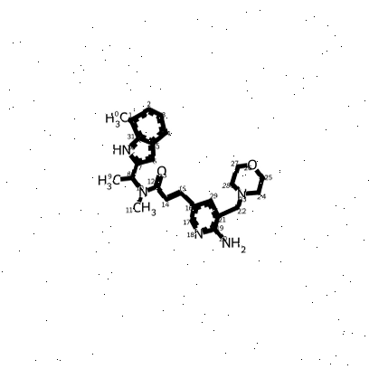 Cc1cccc2cc(C(C)N(C)C(=O)C=Cc3cnc(N)c(CN4CCOCC4)c3)[nH]c12